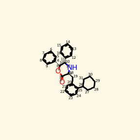 O=C1O[C@H](c2ccccc2)[C@H](c2ccccc2)N[C@H]1Cc1ccccc1C1CCCCC1